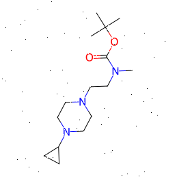 CN(CCN1CCN(C2CC2)CC1)C(=O)OC(C)(C)C